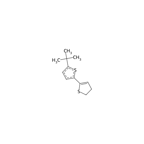 CC(C)(C)c1ccc(C2=CCCS2)s1